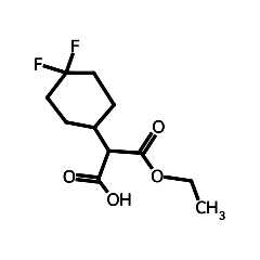 CCOC(=O)C(C(=O)O)C1CCC(F)(F)CC1